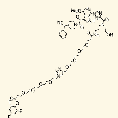 COc1cnc(-n2cnc(C(=O)N(CCO)CCCNC(=O)CCOCCOCCOCCOCc3cn(CCOCCOCCOCCOCCC(=O)Oc4c(F)cc(F)cc4F)nn3)n2)c2[nH]cc(C(=O)C(=O)N3CCC(=C(C#N)c4ccccc4)CC3)c12